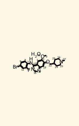 COc1cc2c(Nc3ccc(Br)cc3F)ncnc2cc1OCC1CCN(C)CC1.O